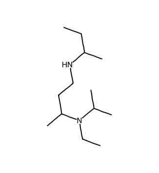 CCC(C)NCCC(C)N(CC)C(C)C